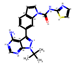 CC(C)(C)n1nc(-c2ccc3ccn(C(=O)Nc4nccs4)c3c2)c2c(N)ncnc21